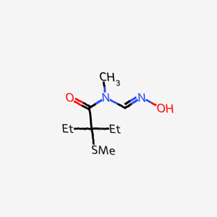 CCC(CC)(SC)C(=O)N(C)C=NO